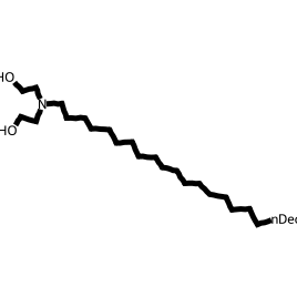 CCCCCCCCCCCCCCCCCCCCCCCCCCCCN(CCO)CCO